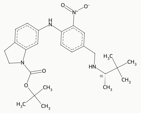 C[C@H](NCc1ccc(Nc2ccc3c(c2)N(C(=O)OC(C)(C)C)CC3)c([N+](=O)[O-])c1)C(C)(C)C